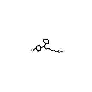 OCCCCCC(c1ccc(O)cc1)C1CCCCC1